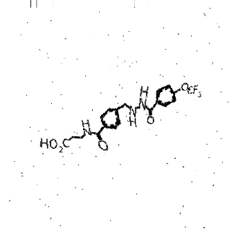 O=C(O)CCNC(=O)c1ccc(CNNC(=O)c2ccc(OC(F)(F)F)cc2)cc1